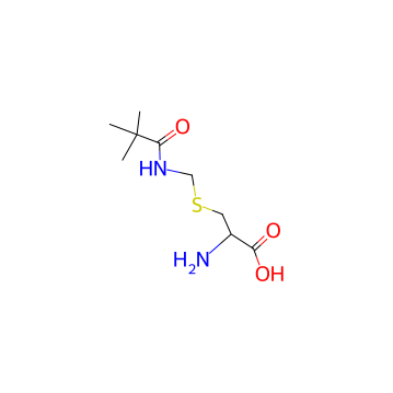 CC(C)(C)C(=O)NCSCC(N)C(=O)O